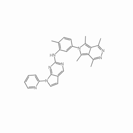 Cc1ccc(-n2c(C)c3c(C)nnc(C)c3c2C)cc1Nc1ncc2ccn(-c3ccccn3)c2n1